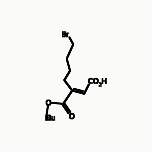 CCC(C)OC(=O)C(=CC(=O)O)CCCCBr